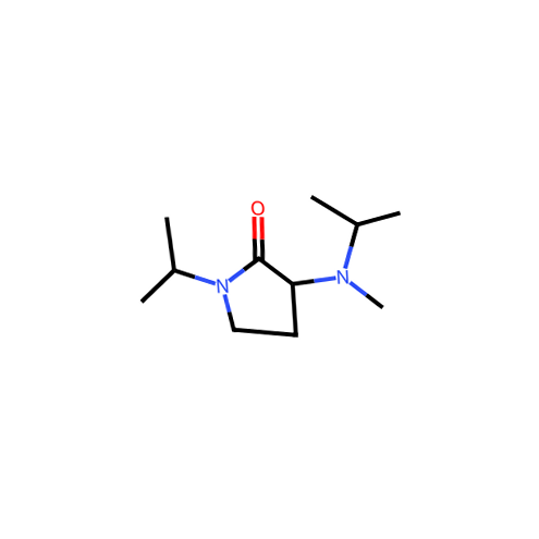 CC(C)N1CCC(N(C)C(C)C)C1=O